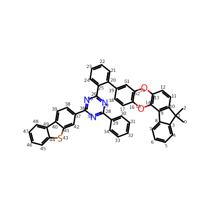 CC1(C)c2ccccc2-c2c1ccc1c2Oc2ccc(-c3ccccc3-c3nc(-c4ccccc4)nc(-c4ccc5c(c4)sc4ccccc45)n3)cc2O1